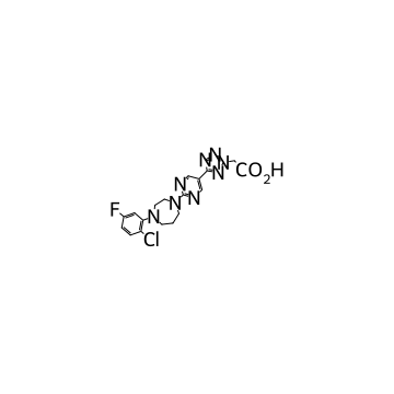 O=C(O)Cn1nnc(-c2cnc(N3CCCN(c4cc(F)ccc4Cl)CC3)nc2)n1